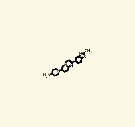 Cc1nc2cc(C3=CCN4C=C(N5CCC(N)CC5)C=CC4=N3)ccc2s1